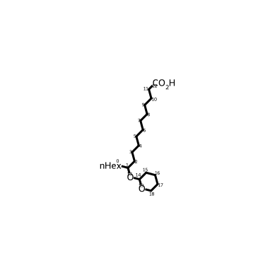 CCCCCCC(CCCCCCCCCCC(=O)O)OC1CCCCO1